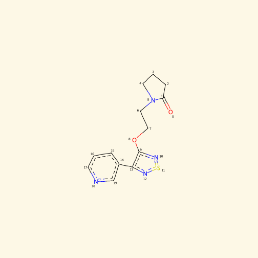 O=C1CCCN1CCOc1nsnc1-c1cccnc1